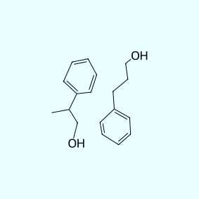 CC(CO)c1ccccc1.OCCCc1ccccc1